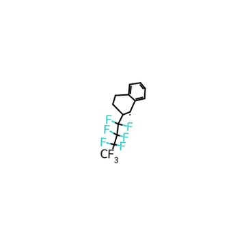 FC(F)(F)C(F)(F)C(F)(F)C(F)(F)C1[CH]c2ccccc2CC1